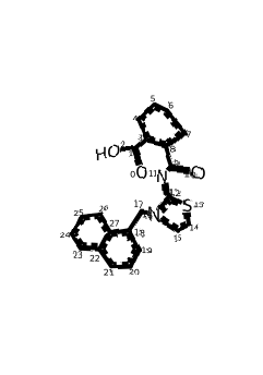 O=C(O)c1ccccc1C(=O)/N=c1\sccn1Cc1cccc2ccccc12